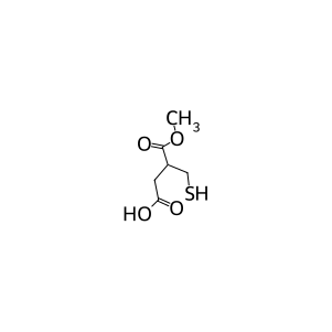 COC(=O)C(CS)CC(=O)O